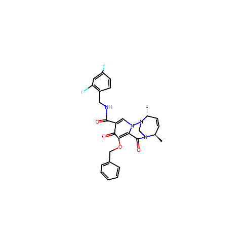 C[C@@H]1C=C[C@@H](C)N2CN1C(=O)c1c(OCc3ccccc3)c(=O)c(C(=O)NCc3ccc(F)cc3F)cn12